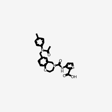 CC(=O)N(Cc1ccc2c(c1)CN(C(=O)Nc1ccsc1C(=O)O)CCO2)c1ccc(C)cc1